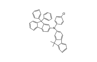 CC1(C)c2ccccc2-c2ccc(N(c3ccc(Cl)cc3)c3ccc4c(c3)C(c3ccccc3)(c3ccccc3)c3ccccc3-4)cc21